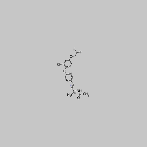 CC(=O)N[C@@H](C)/C=C/c1ccc(Oc2ccc(OCC(F)F)cc2Cl)nc1